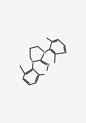 CN=C1N(c2c(C)cccc2C)CCCN1c1c(C)cccc1C